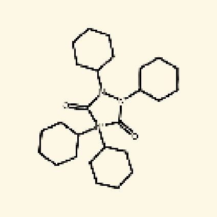 O=C1N(C2CCCCC2)N(C2CCCCC2)C(=O)[N+]1(C1CCCCC1)C1CCCCC1